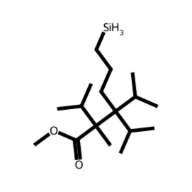 COC(=O)C(C)(C(C)C)C(CCC[SiH3])(C(C)C)C(C)C